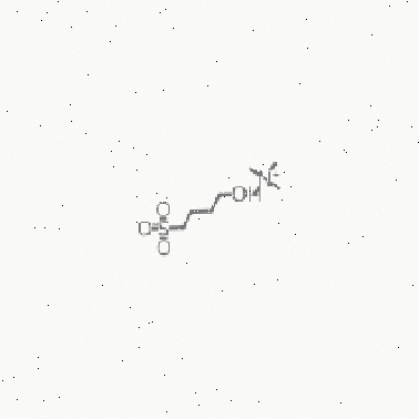 C[N+](C)(C)C.O=S(=O)([O-])CCCCO